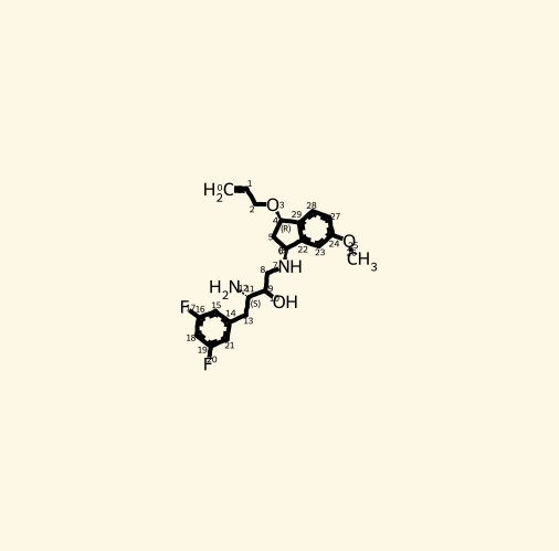 C=CCO[C@@H]1C[C@H](NCC(O)[C@@H](N)Cc2cc(F)cc(F)c2)c2cc(OC)ccc21